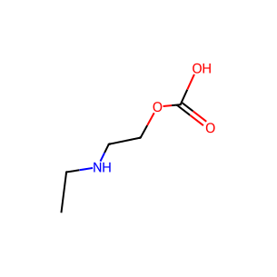 CCNCCOC(=O)O